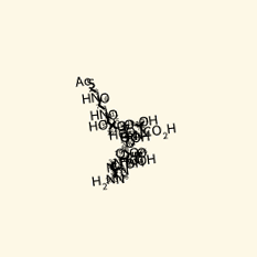 CC(=O)SCCNC(=O)CCNC(=O)C(O)C(C)(C)COP(=O)(O)OP(=O)(O)OC[C@H]1O[C@@H](n2cnc3c(N)ncnc32)[C@H](O)[C@@H]1OP(=O)(O)O.CC(O)C(N)C(=O)O